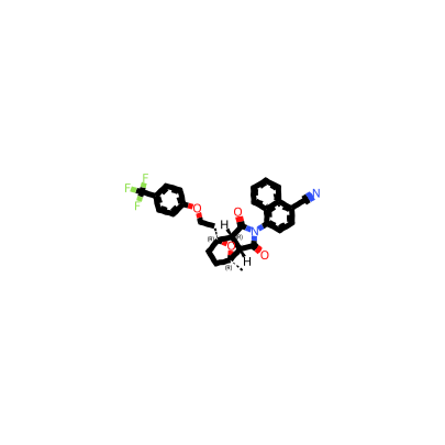 C[C@]12CC[C@](CCOc3ccc(C(F)(F)F)cc3)(O1)[C@@H]1C(=O)N(c3ccc(C#N)c4ccccc34)C(=O)[C@@H]12